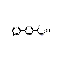 O/C=C\C(F)c1ccc(-c2cccnc2)cc1